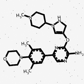 Cc1cc(-c2cnc(N)c(OC3=CN(C4CCN(C)CC4)NC3)n2)cc(C)c1N1CCOCC1